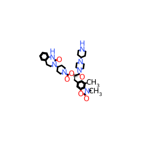 Cc1cc(C[C@@H](OC(=O)N2CCC(N3CCc4ccccc4NC3=O)CC2)C(=O)N2CCN(C3CCNCC3)CC2)cc2oc(=O)n(C)c12